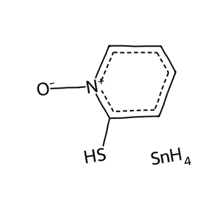 [O-][n+]1ccccc1S.[SnH4]